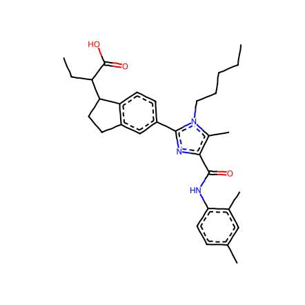 CCCCCn1c(-c2ccc3c(c2)CCC3C(CC)C(=O)O)nc(C(=O)Nc2ccc(C)cc2C)c1C